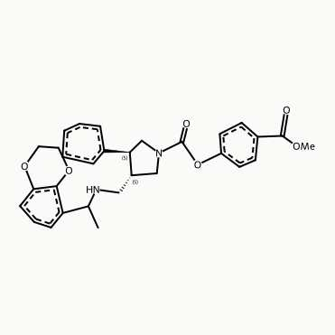 COC(=O)c1ccc(OC(=O)N2C[C@H](CNC(C)c3cccc4c3OCCO4)[C@@H](c3ccccc3)C2)cc1